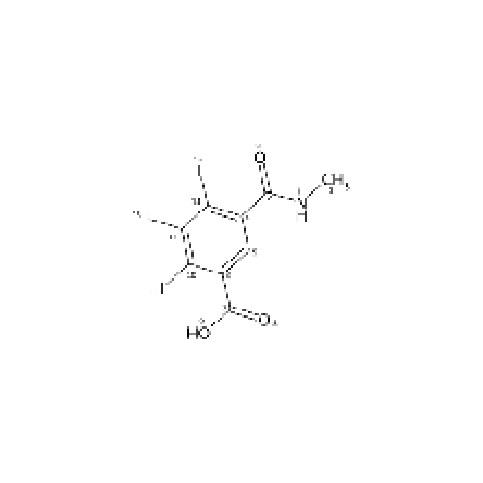 CNC(=O)c1cc(C(=O)O)c(I)c(I)c1I